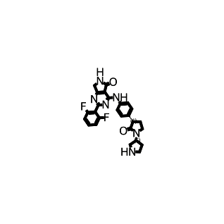 O=C1NCc2nc(-c3c(F)cccc3F)nc(Nc3ccc([C@@H]4CCN([C@H]5CCNC5)C4=O)cc3)c21